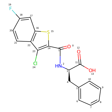 O=C(N[C@H](Cc1ccccc1)C(=O)O)c1sc2cc(F)ccc2c1Cl